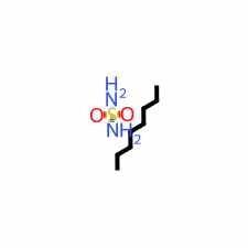 CCCCCCCC.NS(N)(=O)=O